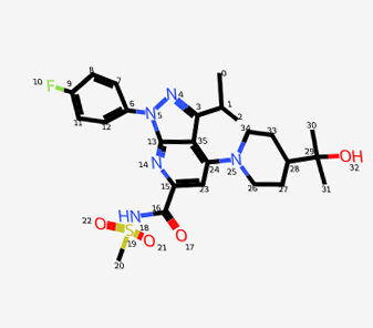 CC(C)c1nn(-c2ccc(F)cc2)c2nc(C(=O)NS(C)(=O)=O)cc(N3CCC(C(C)(C)O)CC3)c12